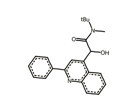 CN(C(=O)C(O)c1cc(-c2ccccc2)nc2ccccc12)C(C)(C)C